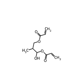 C=CC(=O)OCC(C)C(O)OC(=O)C=C